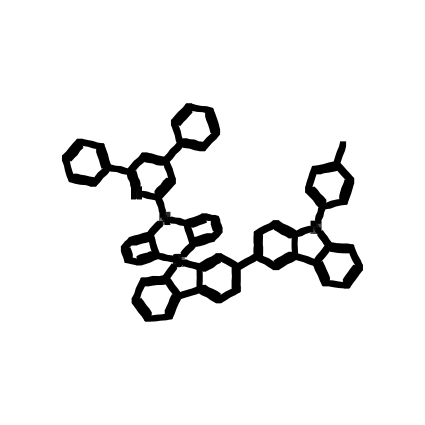 Cc1ccc(-n2c3ccccc3c3cc(-c4ccc5c(c4)[Si]4(c6ccccc6-5)c5ccccc5N(c5cc(-c6ccccc6)cc(-c6ccccc6)n5)c5ccccc54)ccc32)cc1